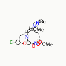 COCC[C@@H]1[C@@H](C)C/C=C/[C@@](CN2CCN(C(C)(C)C)CC2)(OC)[C@@H]2CC[C@H]2CN2CCCCc3cc(Cl)ccc3COc3ccc(cc32)C(=O)NS1(=O)=O